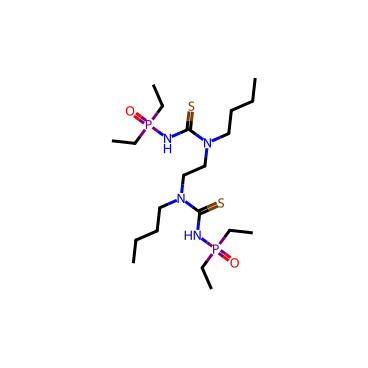 CCCCN(CCN(CCCC)C(=S)NP(=O)(CC)CC)C(=S)NP(=O)(CC)CC